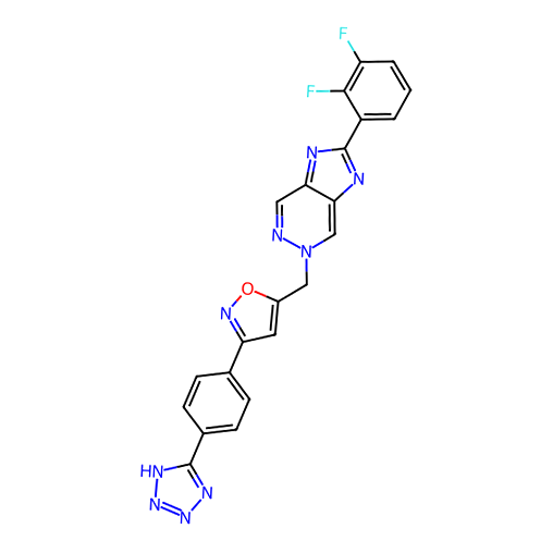 Fc1cccc(-c2nc3cnn(Cc4cc(-c5ccc(-c6nnn[nH]6)cc5)no4)cc-3n2)c1F